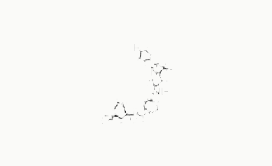 Cc1oc(-c2ccc(F)cc2)nc1CC(=O)NC[C@H]1CN(CCOc2cccc(Cl)c2)CCO1